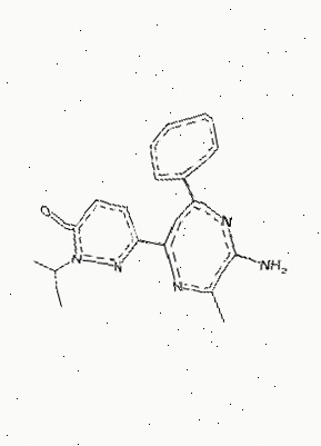 Cc1nc(-c2ccc(=O)n(C(C)C)n2)c(-c2ccccc2)nc1N